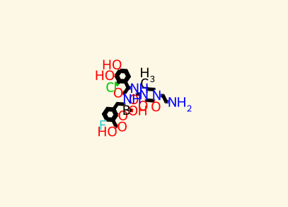 CC1CN(CCN)C(=O)C(=O)N1C(=O)NC(C(=O)NC1Cc2ccc(F)c(C(=O)O)c2OB1O)c1ccc(O)c(O)c1Cl